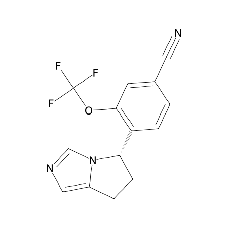 N#Cc1ccc([C@@H]2CCc3cncn32)c(OC(F)(F)F)c1